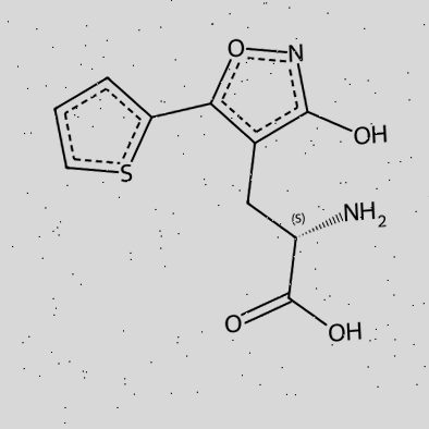 N[C@@H](Cc1c(O)noc1-c1cccs1)C(=O)O